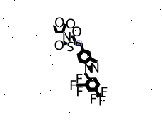 O=C1OCCC1N1C(=O)S/C(=C\c2ccc3c(cnn3Cc3ccc(C(F)(F)F)cc3C(F)(F)F)c2)C1=O